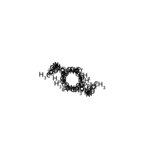 Cc1ccc(S(=O)(=O)c2nnnn2Cc2ccc(C[C@H]3OC(=O)[C@H](CC(C)C)N(C)C(=O)[C@@H](C)OC(=O)[C@H](CC(C)C)N(C)C(=O)[C@@H](Cc4ccc(Cn5nnnc5S(=O)(=O)c5ccc(C)cc5)cc4)OC(=O)[C@H](CC(C)C)N(C)C(=O)[C@@H](C)OC(=O)[C@H](CC(C)C)N(C)C3=O)cc2)cc1